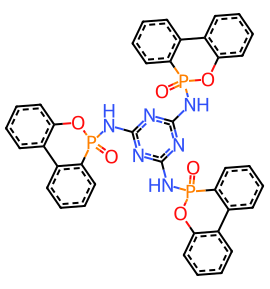 O=P1(Nc2nc(NP3(=O)Oc4ccccc4-c4ccccc43)nc(NP3(=O)Oc4ccccc4-c4ccccc43)n2)Oc2ccccc2-c2ccccc21